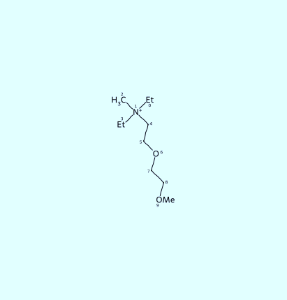 CC[N+](C)(CC)CCOCCOC